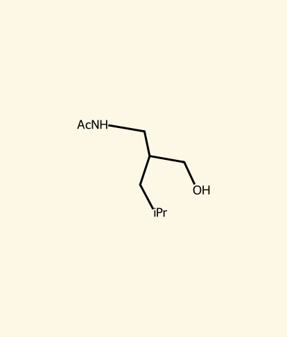 CC(=O)NCC(CO)CC(C)C